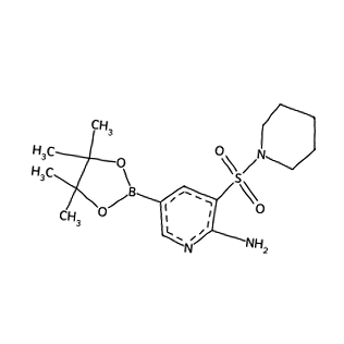 CC1(C)OB(c2cnc(N)c(S(=O)(=O)N3CCCCC3)c2)OC1(C)C